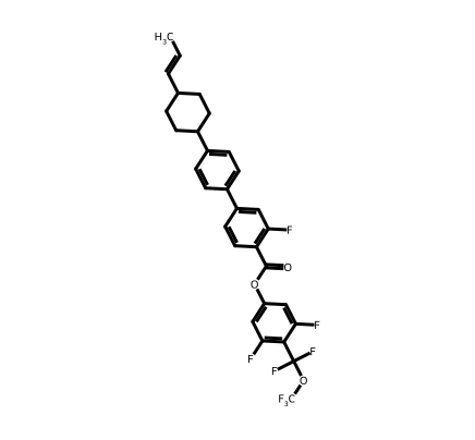 C/C=C/C1CCC(c2ccc(-c3ccc(C(=O)Oc4cc(F)c(C(F)(F)OC(F)(F)F)c(F)c4)c(F)c3)cc2)CC1